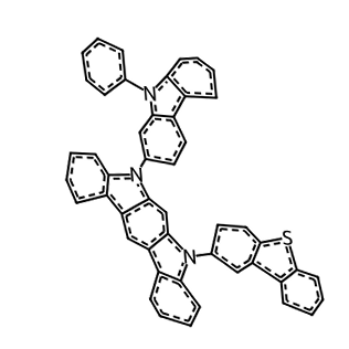 c1ccc(-n2c3ccccc3c3ccc(-n4c5ccccc5c5cc6c7ccccc7n(-c7ccc8sc9ccccc9c8c7)c6cc54)cc32)cc1